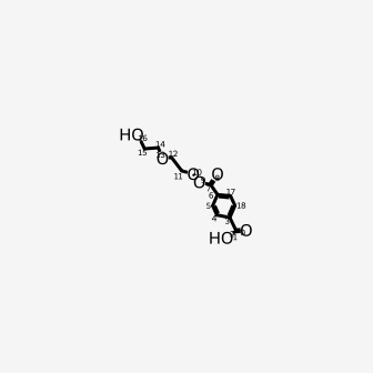 O=C(O)c1ccc(C(=O)OOCCOCCO)cc1